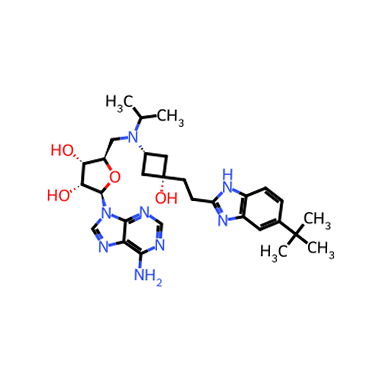 CC(C)N(C[C@H]1O[C@@H](n2cnc3c(N)ncnc32)[C@H](O)[C@@H]1O)[C@H]1C[C@](O)(CCc2nc3cc(C(C)(C)C)ccc3[nH]2)C1